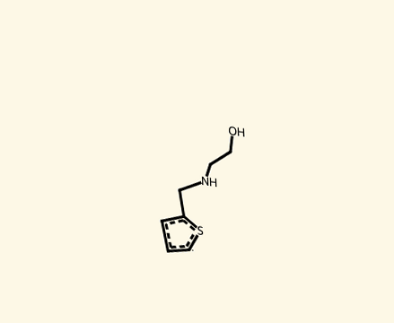 OCCNCc1cc[c]s1